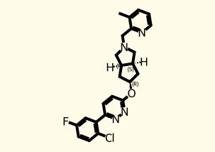 Cc1cccnc1CN1C[C@H]2C[C@@H](Oc3ccc(-c4cc(F)ccc4Cl)nn3)C[C@H]2C1